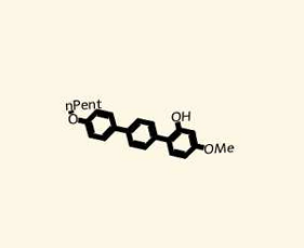 CCCCCOc1ccc(-c2ccc(-c3ccc(OC)cc3O)cc2)cc1